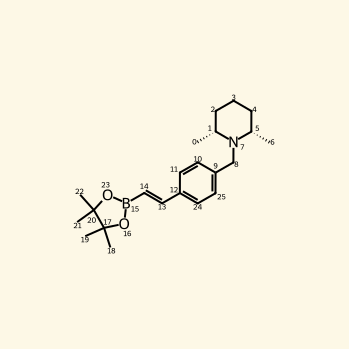 C[C@@H]1CCC[C@H](C)N1Cc1ccc(C=CB2OC(C)(C)C(C)(C)O2)cc1